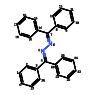 c1ccc(C(=NN=C(c2ccccc2)c2ccccc2)c2ccccc2)cc1